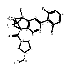 CC1(C)[C@@H]2CC[C@@]1(C(=O)N1CC[C@H](CO)C1)c1nnc(-c3c(F)cccc3F)cc12